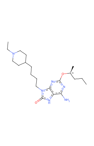 CCC[C@H](C)Oc1nc(N)c2[nH]c(=O)n(CCCCC3CCN(CC)CC3)c2n1